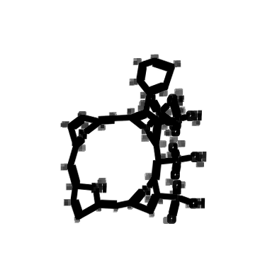 O=S(=O)(O)C1=Cc2cc3ccc(cc4nc(cc5c(-c6ccccc6)c(S(=O)(=O)O)c(c(S(=O)(=O)O)c1n2)n5S(=O)(=O)O)C=C4)[nH]3